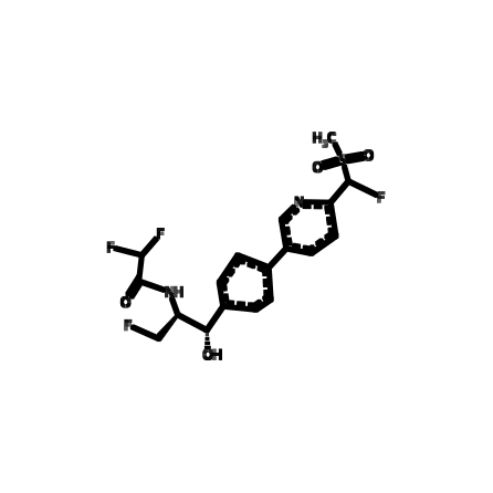 CS(=O)(=O)C(F)c1ccc(-c2ccc([C@H](O)[C@@H](CF)NC(=O)C(F)F)cc2)cn1